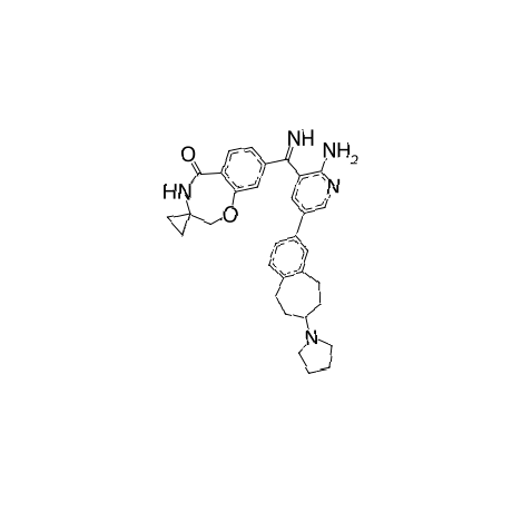 N=C(c1ccc2c(c1)OCC1(CC1)NC2=O)c1cc(-c2ccc3c(c2)CCC(N2CCCC2)CC3)cnc1N